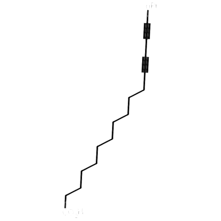 CCCC#CC#CCCCCCCCCCCC(=O)O